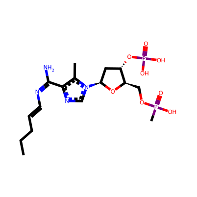 CCC/C=C/N=C(/N)c1ncn([C@H]2C[C@H](OP(=O)(O)O)[C@@H](COP(C)(=O)O)O2)c1C